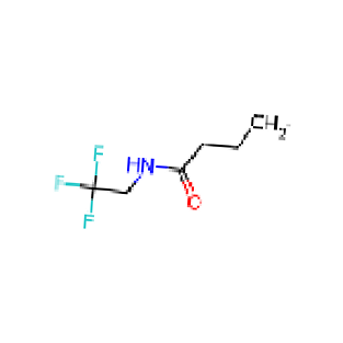 [CH2]CCC(=O)NCC(F)(F)F